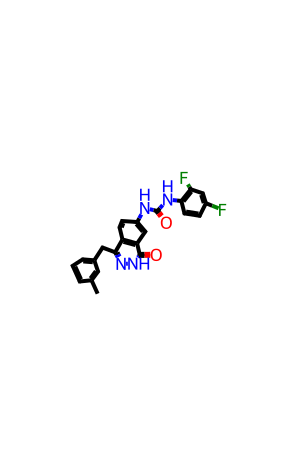 Cc1cccc(Cc2n[nH]c(=O)c3cc(NC(=O)Nc4ccc(F)cc4F)ccc23)c1